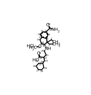 CCC1(CC)c2cc(C(N)=O)ccc2C[C@H](OC)[C@H]1NCCC(CC1CCCCC1)C(=O)O.Cl